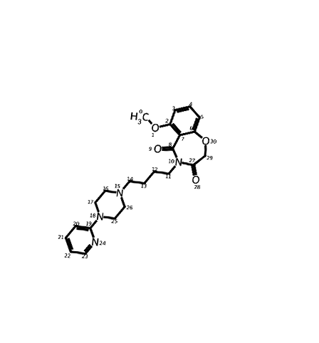 COc1cccc2c1C(=O)N(CCCCN1CCN(c3ccccn3)CC1)C(=O)CO2